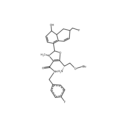 CN1C(C(=O)NCc2ccc(F)cc2)=C([C@@H](N)COC(C)(C)C)OC1C1=C2C=CC(CF)CC2C(O)C=C1